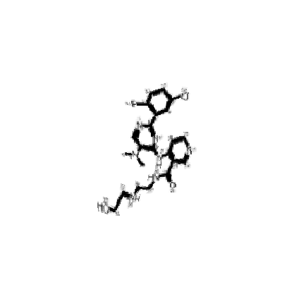 CN(C)c1cnc(-c2cc(Cl)ccc2F)nc1Nc1ccncc1C(=O)NCCNCCO